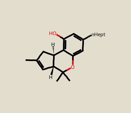 CCCCCCCc1cc(O)c2c(c1)OC(C)(C)[C@@H]1C=C(C)C[C@@H]21